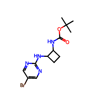 CC(C)(C)OC(=O)NC1CCC1Nc1ncc(Br)cn1